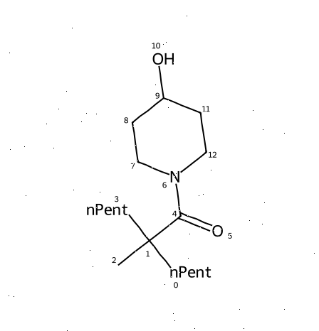 CCCCCC(C)(CCCCC)C(=O)N1CCC(O)CC1